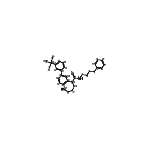 O=C(NCCCCc1ccccc1)N1CCCNc2ccc(-c3cccc(C(F)(F)F)c3)nc21